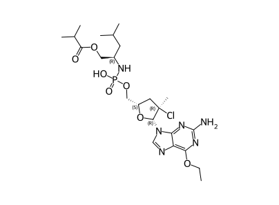 CCOc1nc(N)nc2c1ncn2[C@@H]1O[C@H](COP(=O)(O)N[C@@H](COC(=O)C(C)C)CC(C)C)C[C@@]1(C)Cl